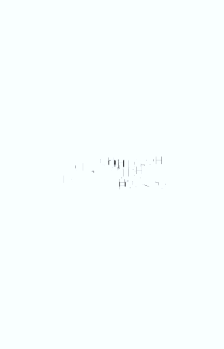 CC(C)CCC[C@@H](C)[C@@]1(O)CC[C@H]2[C@@H]3CCC4=CC(=O)CC(C(=O)O)[C@]4(C)[C@H]3CC[C@@]21C